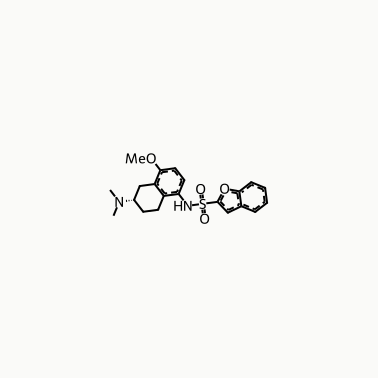 COc1ccc(NS(=O)(=O)c2cc3ccccc3o2)c2c1C[C@@H](N(C)C)CC2